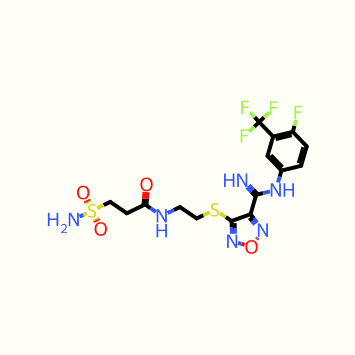 N=C(Nc1ccc(F)c(C(F)(F)F)c1)c1nonc1SCCNC(=O)CCS(N)(=O)=O